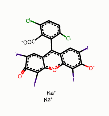 O=C([O-])c1c(Cl)ccc(Cl)c1-c1c2cc(I)c(=O)c(I)c-2oc2c(I)c([O-])c(I)cc12.[Na+].[Na+]